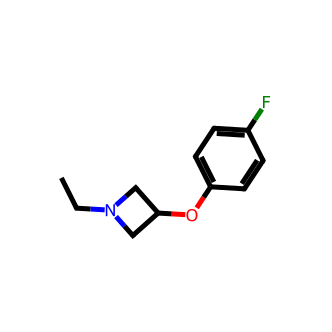 CCN1CC(Oc2ccc(F)cc2)C1